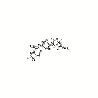 Cc1nc2ccc(Sc3cnc(N4CCC(C)(OC(N)=O)CC4)cn3)c(Cl)c2s1